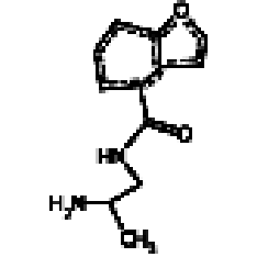 CC(N)CNC(=O)c1cccc2occc12